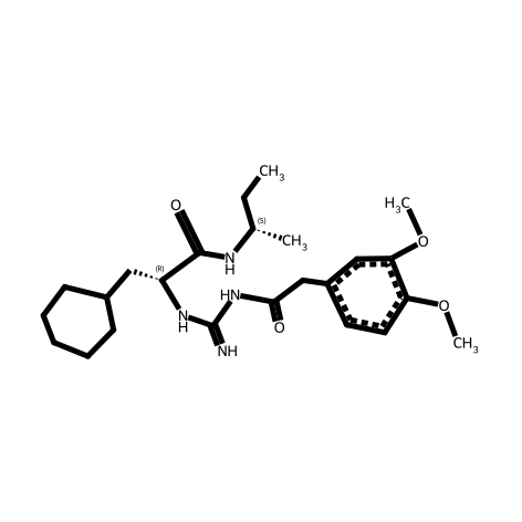 CC[C@H](C)NC(=O)[C@@H](CC1CCCCC1)NC(=N)NC(=O)Cc1ccc(OC)c(OC)c1